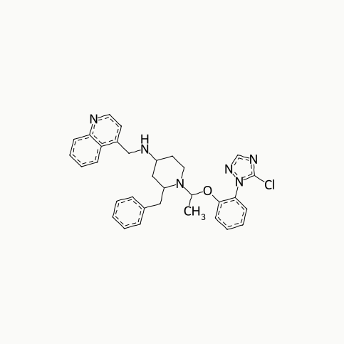 CC(Oc1ccccc1-n1ncnc1Cl)N1CCC(NCc2ccnc3ccccc23)CC1Cc1ccccc1